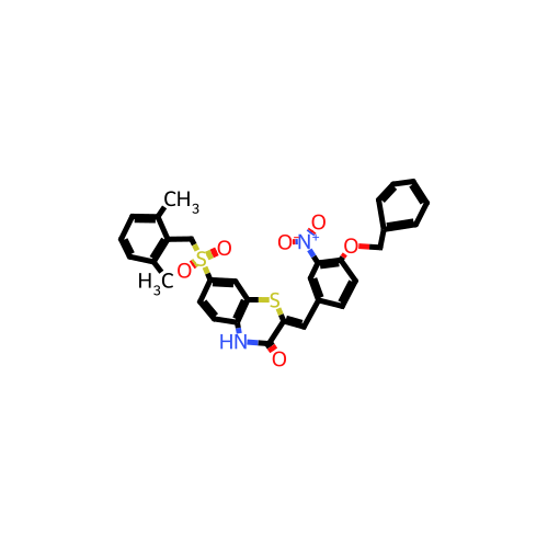 Cc1cccc(C)c1CS(=O)(=O)c1ccc2c(c1)SC(=Cc1ccc(OCc3ccccc3)c([N+](=O)[O-])c1)C(=O)N2